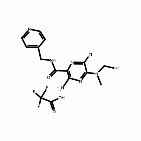 CC(C)CN(C)c1nc(N)c(C(=O)NCc2ccncc2)nc1Cl.O=C(O)C(F)(F)F